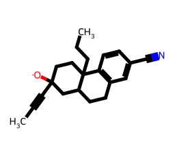 CC#CC1([O])CCC2(CCC)c3ccc(C#N)cc3CCC2C1